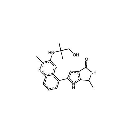 Cc1nc2cccc(-c3cc4c([nH]3)C(C)NC4=O)c2nc1NC(C)(C)CO